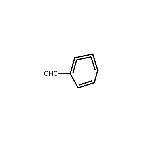 O=CC1=C=C=CC=C1